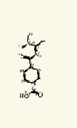 CC(=NC(=S)[C@H]1CC[C@H](C(=O)O)CC1)N(C)C